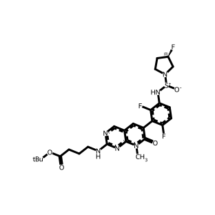 Cn1c(=O)c(-c2c(F)ccc(N[S+]([O-])N3CC[C@@H](F)C3)c2F)cc2cnc(NCCCC(=O)OC(C)(C)C)nc21